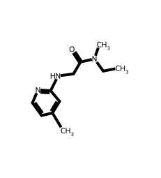 CCN(C)C(=O)CNc1cc(C)ccn1